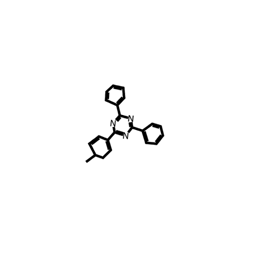 CC1C=CC(c2nc(-c3ccccc3)nc(-c3ccccc3)n2)=CC1